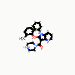 Cc1cccc(F)c1Oc1c(C(=O)N2CCNCC2)c2ncccc2n1-c1ccccc1